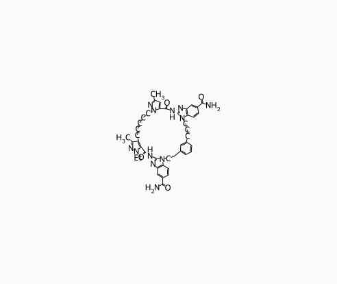 CCn1nc(C)c2c1C(=O)Nc1nc3cc(C(N)=O)ccc3n1CCc1cccc(c1)CCCn1c(nc3cc(C(N)=O)ccc31)NC(=O)c1cc(C)nn1CCCCC2